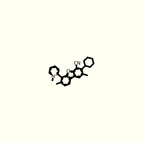 Cc1cc2c(oc3c(-c4cccc[n+]4C)c(C)ccc32)c(C#N)c1C1CCCCC1